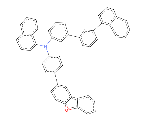 c1cc(-c2cccc(N(c3ccc(-c4ccc5oc6ccccc6c5c4)cc3)c3cccc4ccccc34)c2)cc(-c2cccc3ccccc23)c1